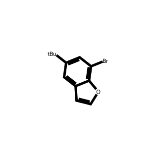 CC(C)(C)c1cc(Br)c2occc2c1